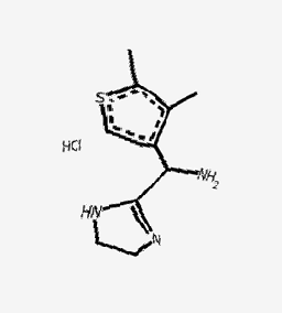 Cc1scc(C(N)C2=NCCN2)c1C.Cl